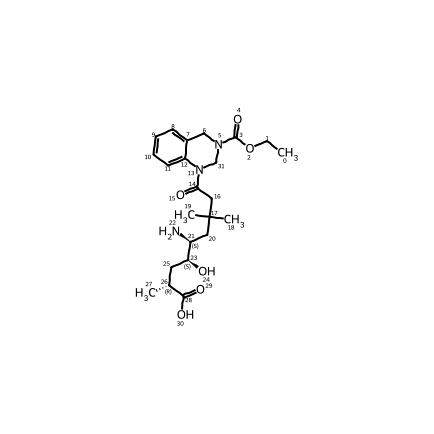 CCOC(=O)N1Cc2ccccc2N(C(=O)CC(C)(C)C[C@H](N)[C@@H](O)C[C@@H](C)C(=O)O)C1